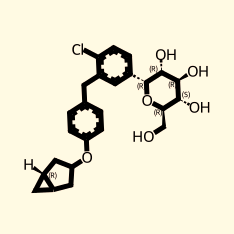 OC[C@H]1O[C@H](c2ccc(Cl)c(Cc3ccc(OC4CC5C[C@@H]5C4)cc3)c2)[C@H](O)[C@@H](O)[C@@H]1O